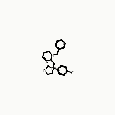 O=C1NCC[N+]1(CC1C=CCCN1Cc1ccccc1)c1ccc(Cl)cc1